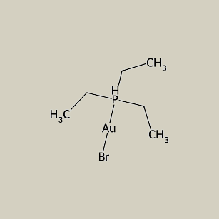 CC[PH](CC)(CC)[Au][Br]